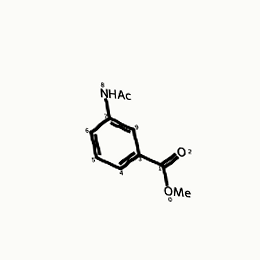 COC(=O)c1cccc(NC(C)=O)c1